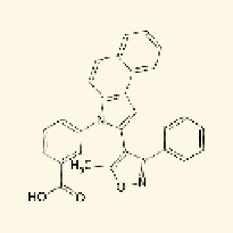 Cc1onc(-c2ccccc2)c1-c1cc2c3ccccc3ccc2n1-c1cccc(C(=O)O)c1